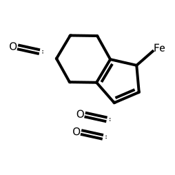 [C]=O.[C]=O.[C]=O.[Fe][CH]1C=CC2=C1CCCC2